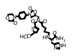 Cl.NC(=O)[C@H](Cc1c[nH]cn1)NCCCCC(=O)N(C[C@H]1CN(c2ccc(N3CCOCC3=O)cc2)C(=O)O1)C(=O)c1ccc(Cl)s1